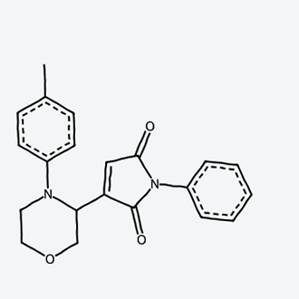 Cc1ccc(N2CCOCC2C2=CC(=O)N(c3ccccc3)C2=O)cc1